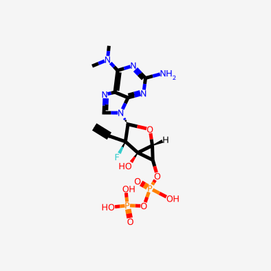 C#C[C@]1(F)[C@H](n2cnc3c(N(C)C)nc(N)nc32)O[C@@H]2C(OP(=O)(O)OP(=O)(O)O)[C@@]21O